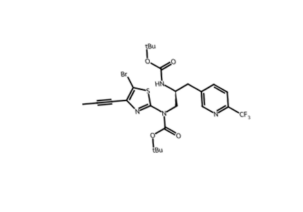 CC#Cc1nc(N(C[C@H](Cc2ccc(C(F)(F)F)nc2)NC(=O)OC(C)(C)C)C(=O)OC(C)(C)C)sc1Br